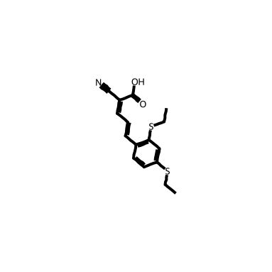 CCSc1ccc(C=CC=C(C#N)C(=O)O)c(SCC)c1